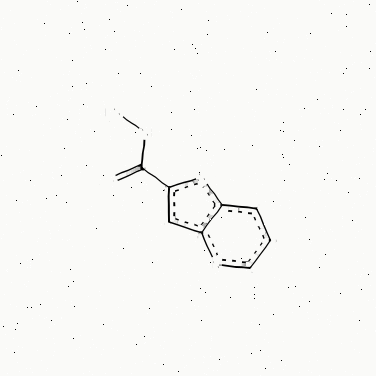 NNC(=O)c1cc2ncccc2[nH]1